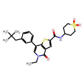 CCn1cc(-c2cccc(CC(C)(C)C)c2)c2sc(C(=O)NC3CCS(=O)(=O)CC3)cc2c1=O